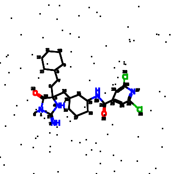 CN1C(=N)NC(CCC2CCCCC2)(CC2CCCC(NC(=O)c3cc(Cl)nc(Cl)c3)C2)C1=O